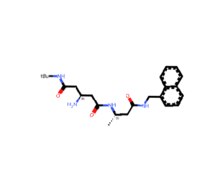 C[C@@H](CC(=O)NCc1cccc2ccccc12)NC(=O)C[C@@H](N)CC(=O)NC(C)(C)C